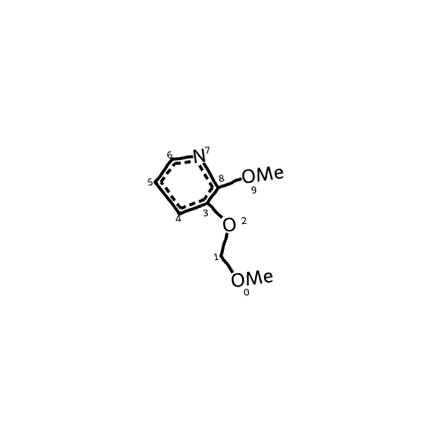 COCOc1cccnc1OC